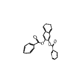 O=C(Oc1cc2c(cc1OC(=O)c1ccccc1)=CCCC=2)c1ccccc1